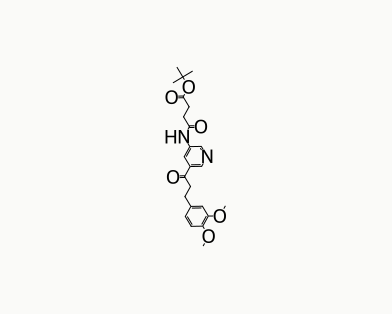 COc1ccc(CCC(=O)c2cncc(NC(=O)CCC(=O)OC(C)(C)C)c2)cc1OC